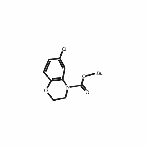 CC(C)(C)OC(=O)N1CCOc2ccc(Cl)cc21